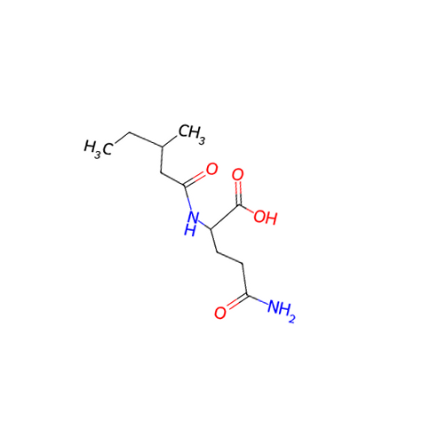 CCC(C)CC(=O)NC(CCC(N)=O)C(=O)O